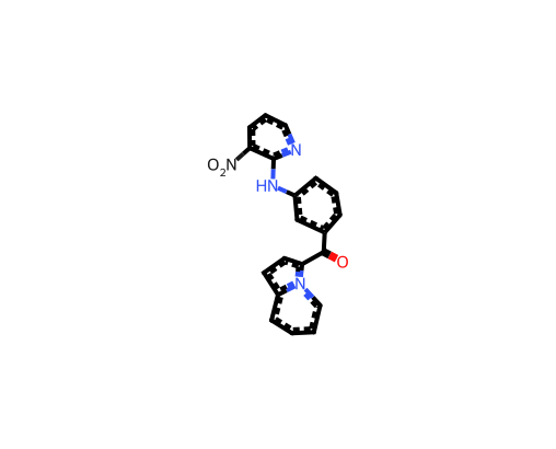 O=C(c1cccc(Nc2ncccc2[N+](=O)[O-])c1)c1ccc2ccccn12